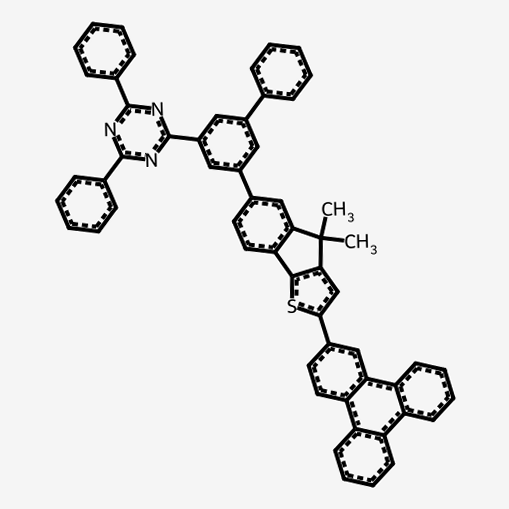 CC1(C)c2cc(-c3cc(-c4ccccc4)cc(-c4nc(-c5ccccc5)nc(-c5ccccc5)n4)c3)ccc2-c2sc(-c3ccc4c5ccccc5c5ccccc5c4c3)cc21